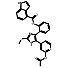 CSc1nc(-c2ccccc2NC(=O)c2cccc3[nH]ccc23)c(-c2ccnc(NC(C)=O)c2)[nH]1